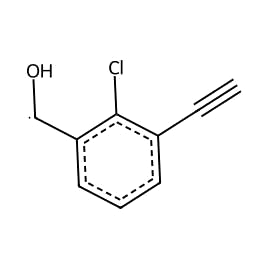 C#Cc1cccc([CH]O)c1Cl